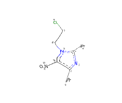 CC(C)c1nc(C(C)C)n(CCCl)c1[N+](=O)[O-]